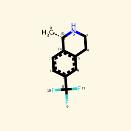 C[C@@H]1NCCc2cc(C(F)(F)F)ccc21